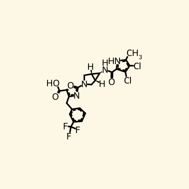 Cc1[nH]c(C(=O)N[C@@H]2[C@@H]3CN(c4nc(Cc5cccc(C(F)(F)F)c5)c(C(=O)O)o4)C[C@@H]32)c(Cl)c1Cl